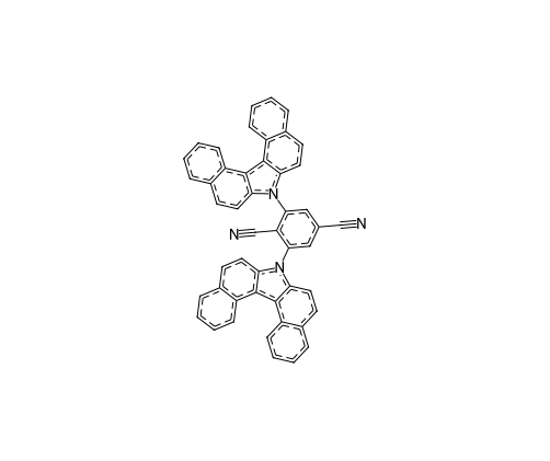 N#Cc1cc(-n2c3ccc4ccccc4c3c3c4ccccc4ccc32)c(C#N)c(-n2c3ccc4ccccc4c3c3c4ccccc4ccc32)c1